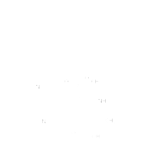 CC1=C(C(=O)O)C(c2ccncc2)C(CCC#N)(C(=O)OCC=Cc2ccccc2)C(C)N1